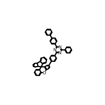 C1=CC2c3ccccc3C3(c4ccccc4Oc4ccc(-c5ccc(-c6nc(-c7ccccc7)nc(-c7ccc(-c8ccccc8)cc7)n6)cc5)cc43)C2C=C1